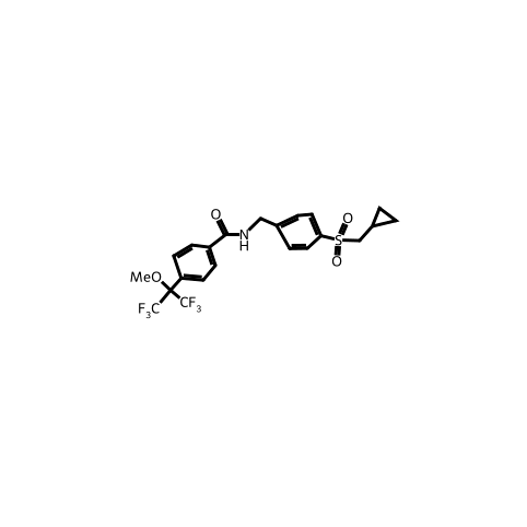 COC(c1ccc(C(=O)NCc2ccc(S(=O)(=O)CC3CC3)cc2)cc1)(C(F)(F)F)C(F)(F)F